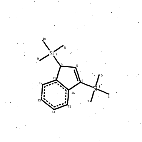 C[Si](C)(C)C1=CC([Si](C)(C)C)c2ccccc21